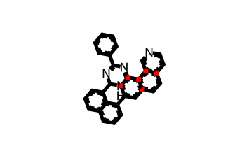 c1ccc(C2=NC(c3cccc4cccc(-c5ccc(-c6cccnc6)cc5)c34)NC(c3ccccc3)=N2)cc1